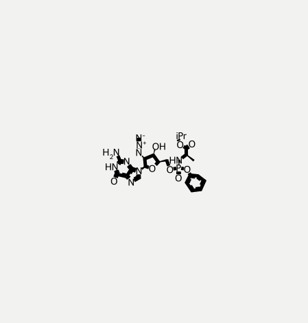 CC(C)OC(=O)[C@@H](C)N[P@@](=O)(OC[C@H]1O[C@@H](n2cnc3c(=O)[nH]c(N)nc32)[C@H](N=[N+]=[N-])[C@@H]1O)Oc1ccccc1